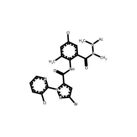 CC(=O)N(C)N(C)C(=O)c1cc(Cl)cc(C)c1NC(=O)c1cc(Br)nn1-c1ncccc1Cl